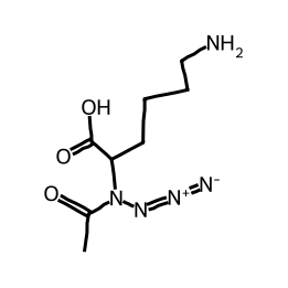 CC(=O)N(N=[N+]=[N-])C(CCCCN)C(=O)O